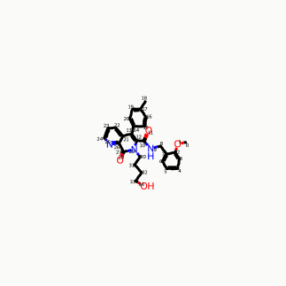 COc1ccccc1CNC(=O)c1c(-c2ccc(C)cc2)c2cccnc2c(=O)n1CCCCO